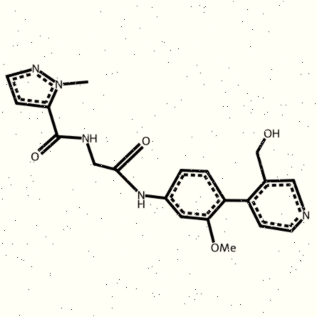 COc1cc(NC(=O)CNC(=O)c2ccnn2C)ccc1-c1ccncc1CO